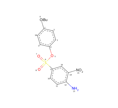 CC(C)COc1ccc(OS(=O)(=O)c2ccc(N)c([N+](=O)[O-])c2)cc1